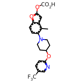 Cc1c(N2CCC(Oc3ccc(C(F)(F)F)cn3)CC2)ccc2oc(OC(=O)O)cc12